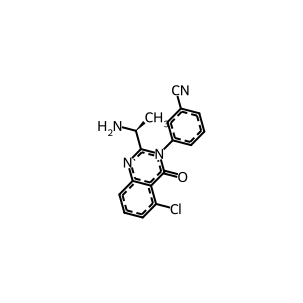 C[C@H](N)c1nc2cccc(Cl)c2c(=O)n1-c1cccc(C#N)c1